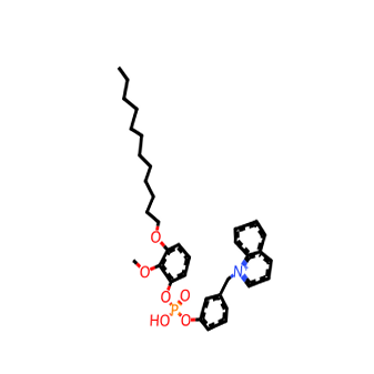 CCCCCCCCCCCCOc1cccc(OP(=O)(O)Oc2cccc(C[n+]3cccc4ccccc43)c2)c1OC